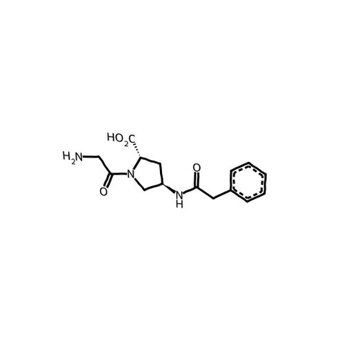 NCC(=O)N1C[C@H](NC(=O)Cc2ccccc2)C[C@H]1C(=O)O